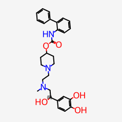 CN(CCN1CCC(OC(=O)Nc2ccccc2-c2ccccc2)CC1)C[C@H](O)c1ccc(O)c(O)c1